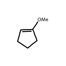 COC1=CCCC1